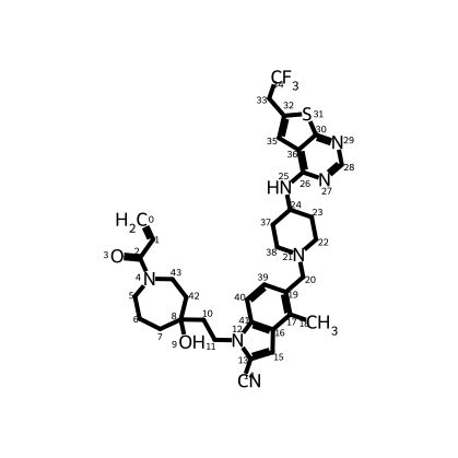 C=CC(=O)N1CCCC(O)(CCn2c(C#N)cc3c(C)c(CN4CCC(Nc5ncnc6sc(CC(F)(F)F)cc56)CC4)ccc32)CC1